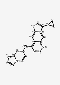 c1cc(Nc2ccn3ncnc3c2)c2cc3scc(C4CC4)c3cc2n1